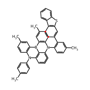 Cc1ccc(N2C3=C4B(c5cc(C)ccc52)c2cc(C)ccc2N(c2ccc(C)cc2C2=Cc5sc6ccccc6c5CC2)C4=C=C=C3)cc1